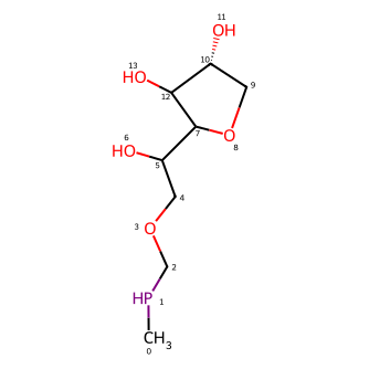 CPCOCC(O)C1OC[C@@H](O)C1O